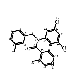 Cc1cccc(CN(C(=O)c2ccncc2C)c2cc(Cl)cc(Cl)c2)c1